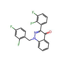 O=c1c(-c2cccc(F)c2F)nn(Cc2ccc(F)cc2F)c2ccccc12